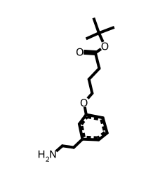 CC(C)(C)OC(=O)CCCOc1cccc(CCN)c1